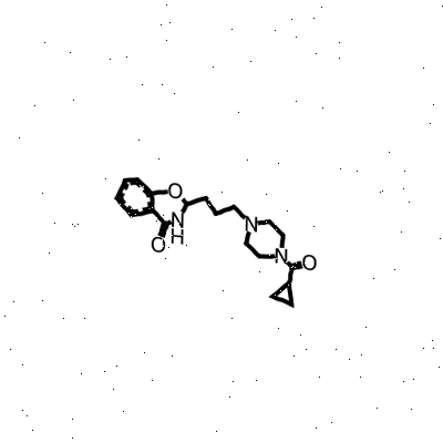 O=C1NC(CCCN2CCN(C(=O)C3CC3)CC2)Oc2ccccc21